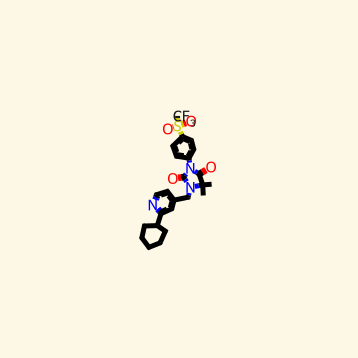 CC1(C)C(=O)N(c2ccc(S(=O)(=O)C(F)(F)F)cc2)C(=O)N1Cc1ccnc(C2CCCCC2)c1